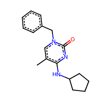 Cc1cn(Cc2ccccc2)c(=O)nc1NC1CCCC1